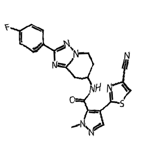 Cn1ncc(-c2nc(C#N)cs2)c1C(=O)NC1CCn2nc(-c3ccc(F)cc3)nc2C1